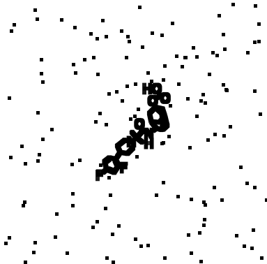 CC(C)(C(=O)NC1C2CC3CC1CC(OC(=O)O)(C3)C2)N1CCC(c2ccc(F)cc2F)CC1